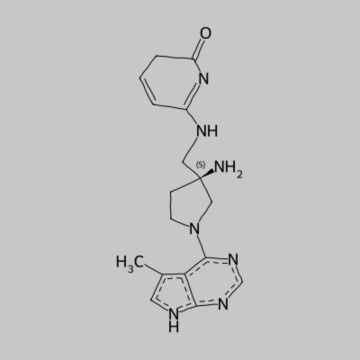 Cc1c[nH]c2ncnc(N3CC[C@](N)(CNC4=NC(=O)CC=C4)C3)c12